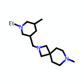 CCN1CC(C)CC(CN2CC3(CCN(C)CC3)C2)C1